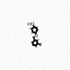 Oc1ccc(OCc2cccc(F)c2)cc1